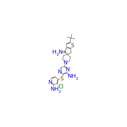 CC(C)(C)c1cc2c(s1)CC1(CCN(c3cnc(Sc4ccnc(N)c4Cl)c(N)n3)CC1)[C@@H]2N